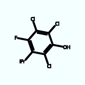 CC(C)c1c(F)c(Cl)c(Cl)c(O)c1Cl